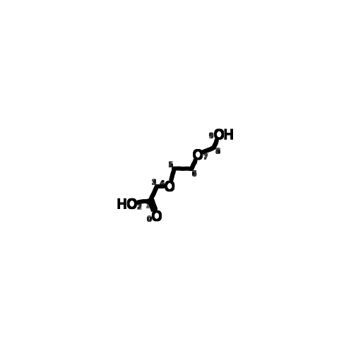 O=C(O)COCCOCO